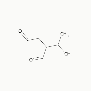 CC(C)C(C=O)CC=O